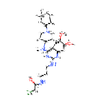 COc1cc2nc(NCCCNC(=O)CCl)nc(N(C)C3CCN(C4CCCC(C)(C)C4)CC3)c2cc1OC